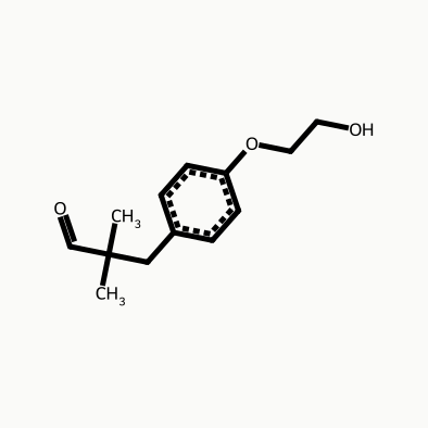 CC(C)(C=O)Cc1ccc(OCCO)cc1